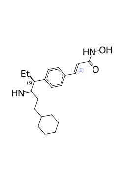 CC[C@H](C(=N)CCC1CCCCC1)c1ccc(/C=C/C(=O)NO)cc1